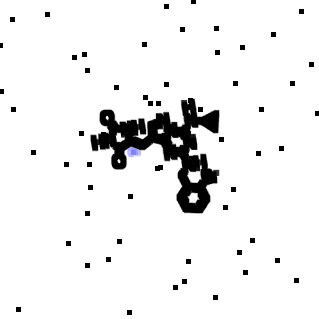 O=C1NC(=O)/C(=C/c2cnn3c(NC4CC4)nc(NCc4ccccc4Br)nc23)N1